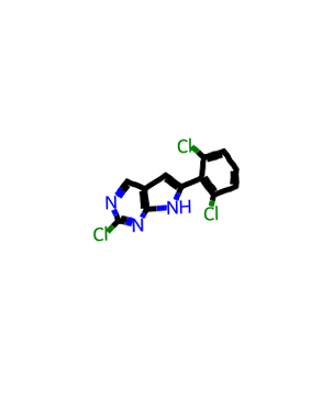 Clc1ncc2cc(-c3c(Cl)cccc3Cl)[nH]c2n1